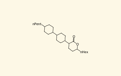 CCCCCCC1CCC(C2CCC(C3CCC(CCCCC)CC3)CC2)C(=O)O1